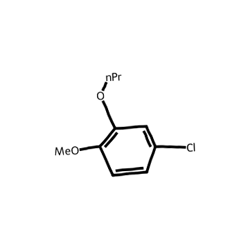 CCCOc1cc(Cl)ccc1OC